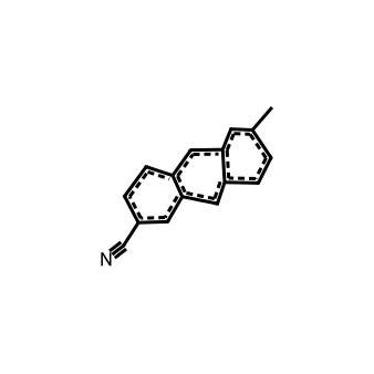 Cc1ccc2cc3cc(C#N)ccc3cc2c1